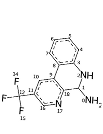 NC1Nc2ccccc2-c2cc(C(F)(F)F)cnc21